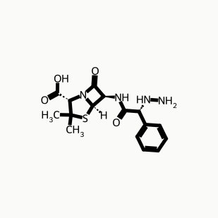 CC1(C)S[C@@H]2[C@H](NC(=O)[C@H](NN)c3ccccc3)C(=O)N2[C@H]1C(=O)O